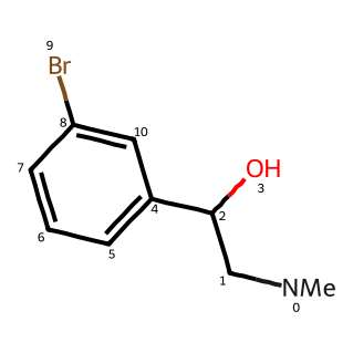 CNCC(O)c1cccc(Br)c1